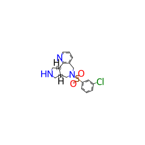 O=S(=O)(c1cccc(Cl)c1)N1Cc2cccnc2[C@@H]2CNC[C@H]2C1